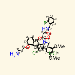 COc1ccc(CN2C(=O)[C@H](CC(=O)NCc3ccccc3F)O[C@@H](c3cccc(OCCCN)c3OC)c3cc(Cl)ccc32)c(OC)c1.Cl